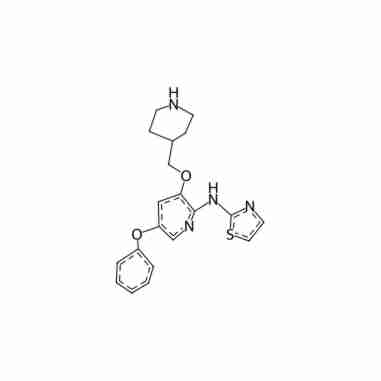 c1ccc(Oc2cnc(Nc3nccs3)c(OCC3CCNCC3)c2)cc1